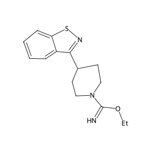 CCOC(=N)N1CCC(c2nsc3ccccc23)CC1